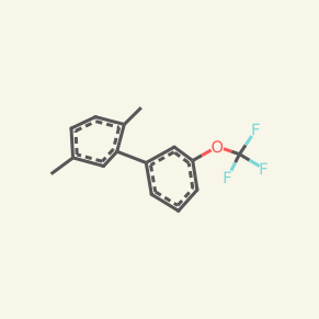 Cc1ccc(C)c(-c2cccc(OC(F)(F)F)c2)c1